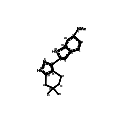 CNc1ccc2cc(-c3n[nH]c4c3CCC(C)(C)C4)[nH]c2c1